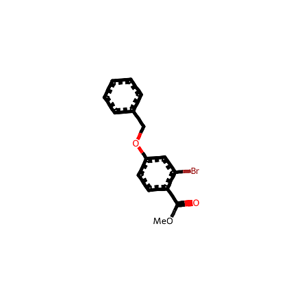 COC(=O)c1ccc(OCc2ccccc2)cc1Br